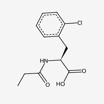 CCC(=O)N[C@@H](Cc1ccccc1Cl)C(=O)O